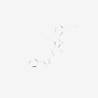 [C-]#[N+]c1nn(-c2cc(C(=O)O)cc(C(=O)O)c2)c(O)c1/N=N/c1nnc(-c2cccc(C(=O)O)c2)s1